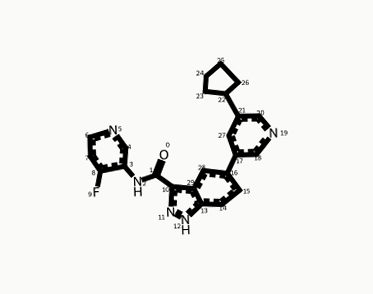 O=C(Nc1cnccc1F)c1n[nH]c2ccc(-c3cncc(C4CCCC4)c3)cc12